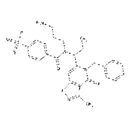 CCC(c1cc2onc(C)c2c(=O)n1Cc1ccccc1)N(CCCN)C(=O)c1ccc(S(=O)(=O)F)cc1